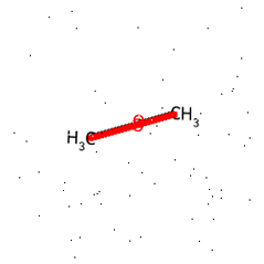 CCCCCCCCCCCCCCCCCCCCCCCCCCCCOC(=O)CCCCCCCCCCCCCCCCCCCCCC